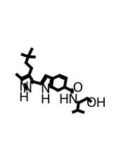 Cc1[nH]nc(-c2cc3c([nH]2)CC(C(=O)NC(CO)C(C)C)C=C3)c1CCC(C)(C)C